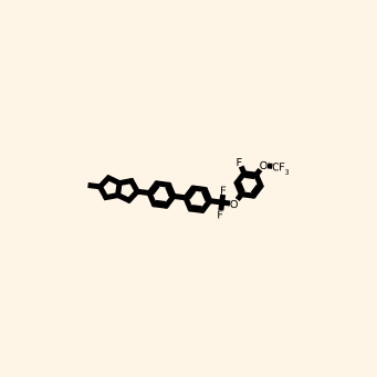 CC1CC2CC(c3ccc(-c4ccc(C(F)(F)Oc5ccc(OC(F)(F)F)c(F)c5)cc4)cc3)CC2C1